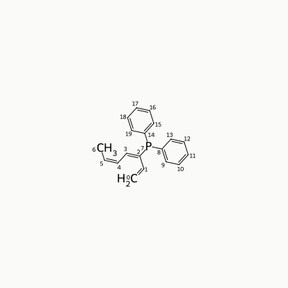 C=C/C(=C\C=C/C)P(c1ccccc1)c1ccccc1